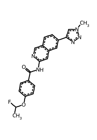 CC(F)Oc1ccc(C(=O)Nc2cc3cc(-c4cn(C)nn4)ccc3cn2)cc1